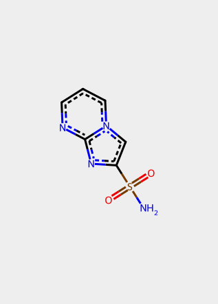 NS(=O)(=O)c1cn2cccnc2n1